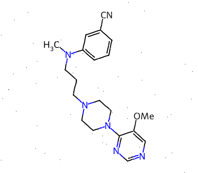 COc1cncnc1N1CCN(CCCN(C)c2cccc(C#N)c2)CC1